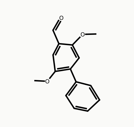 COc1cc(-c2ccccc2)c(OC)cc1C=O